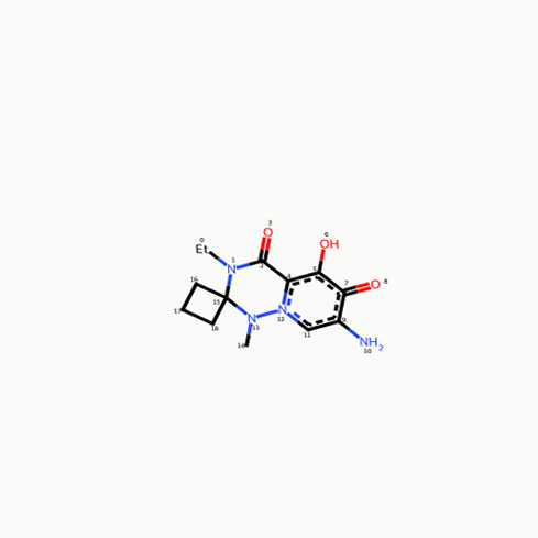 CCN1C(=O)c2c(O)c(=O)c(N)cn2N(C)C12CCC2